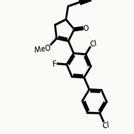 C#CCC1CC(OC)=C(c2c(F)cc(-c3ccc(Cl)cc3)cc2Cl)C1=O